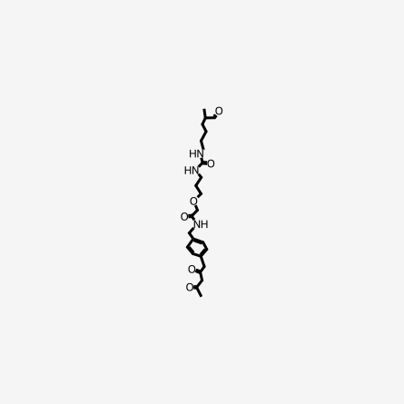 CC(=O)CC(=O)Cc1ccc(CNC(=O)COCCCNC(=O)NCCCCC(C)C=O)cc1